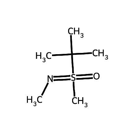 CN=S(C)(=O)C(C)(C)C